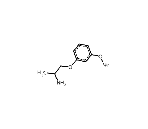 CC(N)COc1cccc(OC(C)C)c1